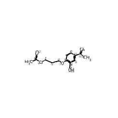 CC(=O)OCCCOc1ccc(C(C)=O)cc1O